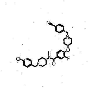 N#Cc1ccc(CN2CCC(Oc3ccc(C(=O)NC4CCN(Cc5ccc(Cl)cc5)CC4)cc3F)CC2)cc1